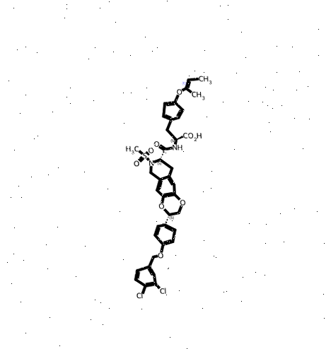 C/C=C(\C)Oc1ccc(C[C@H](NC(=O)[C@@H]2Cc3cc4c(cc3CN2S(C)(=O)=O)O[C@@H](c2ccc(OCc3ccc(Cl)c(Cl)c3)cc2)CO4)C(=O)O)cc1